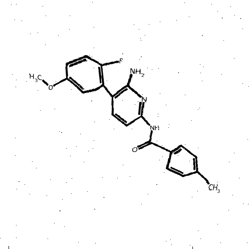 COc1ccc(F)c(-c2ccc(NC(=O)c3ccc(C)cc3)nc2N)c1